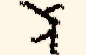 COCCOCCOCC(=O)NCCOCCOCCOCC(=O)NCCCCC(NC(=O)COCCOCCOCCNC(=O)COCCOCCOC)C(=O)NCCOCCOCCOCC(=O)NCCCCC(NC(=O)COCCOCCOCCNC(=O)C(CCCCNC(=O)COCCOCCOCCNC(=O)COCCOCCOC)NC(=O)COCCOCCOCCNC(=O)COCCOCCOC)C(=O)O